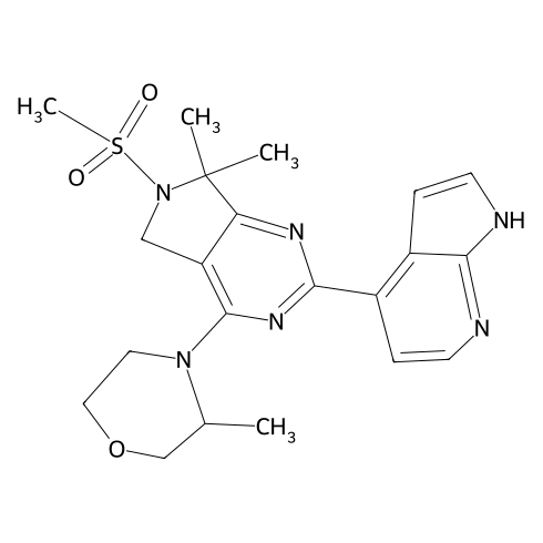 CC1COCCN1c1nc(-c2ccnc3[nH]ccc23)nc2c1CN(S(C)(=O)=O)C2(C)C